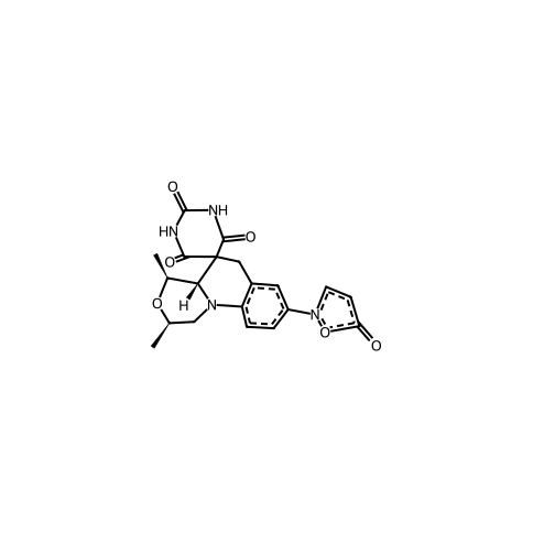 C[C@@H]1CN2c3ccc(-n4ccc(=O)o4)cc3CC3(C(=O)NC(=O)NC3=O)[C@H]2[C@H](C)O1